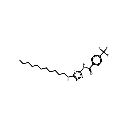 CCCCCCCCCCCNc1nnc(NC(=O)c2ccc(C(F)(F)F)cc2)s1